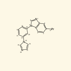 CC(C)c1ccc2c(c1)ncn2-c1cccc(-n2ccnc2)c1